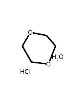 C1COCCO1.Cl.O